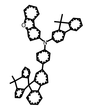 CC1(C)c2ccccc2-c2ccc(N(c3ccc(-c4ccc5c(c4)C4(c6ccccc6-5)c5ccccc5C(C)(C)c5ccccc54)cc3)c3ccc4oc5ccccc5c4c3)cc21